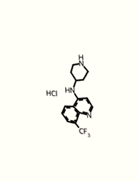 Cl.FC(F)(F)c1cccc2c(NC3CCNCC3)ccnc12